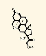 CC(=O)OCC(=O)[C@@]1(O)CC[C@H]2[C@@H]3CCC4=CC(=O)CC5COC(=C3[C@]45C)C[C@@]21C